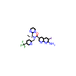 CC[C@H](c1ncccn1)N(Cc1ccc(C(F)(F)F)cn1)C(=O)c1cnc2nc(N)c(I)cc2c1